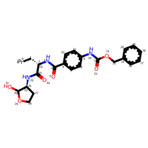 CC(C)C[C@H](NC(=O)c1ccc(NC(=O)OCc2ccccc2)cc1)C(=O)N[C@H]1CCOC1O